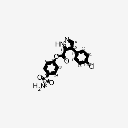 NS(=O)(=O)c1ccc(OC(=O)c2[nH]ncc2-c2ccc(Cl)cc2)cc1